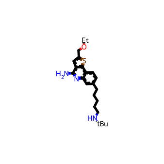 CCOCc1cc2c(N)nc3cc(CCCCCNC(C)(C)C)ccc3c2s1